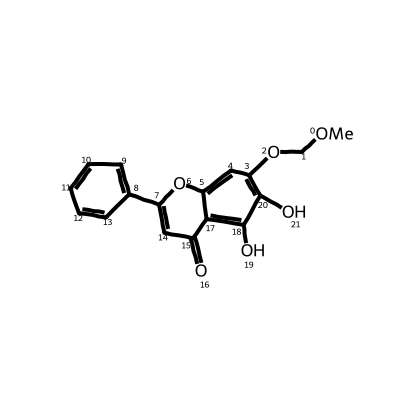 COCOc1cc2oc(-c3ccccc3)cc(=O)c2c(O)c1O